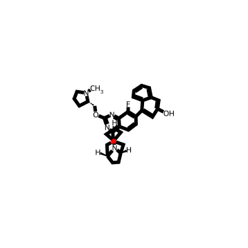 CN1CCC[C@H]1COc1nc(N2C[C@H]3CC[C@@H](C2)N3C2CNC2)c2ccc(-c3cc(O)cc4ccccc34)c(F)c2n1